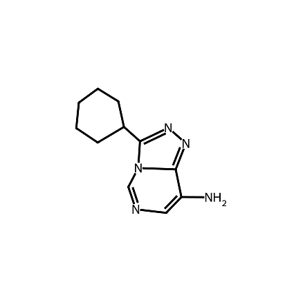 Nc1cncn2c(C3CCCCC3)nnc12